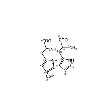 NC(Cc1cnc[nH]1)C(=O)[O-].NC(Cc1cnc[nH]1)C(=O)[O-].[Co+2]